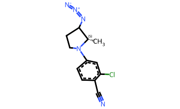 C[C@H]1C(N=[N+]=[N-])CCN1c1ccc(C#N)c(Cl)c1